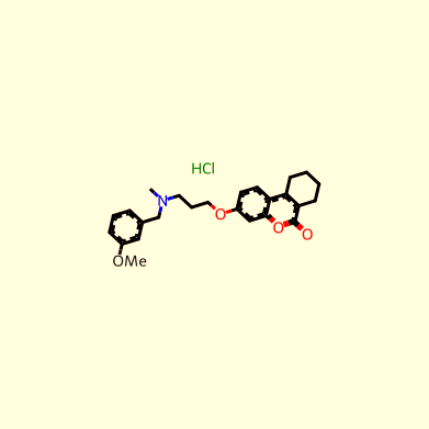 COc1cccc(CN(C)CCCOc2ccc3c4c(c(=O)oc3c2)CCCC4)c1.Cl